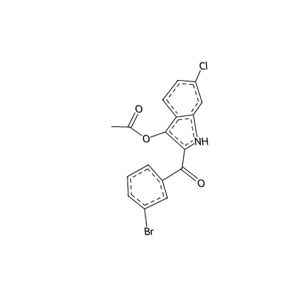 CC(=O)Oc1c(C(=O)c2cccc(Br)c2)[nH]c2cc(Cl)ccc12